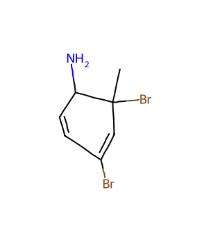 CC1(Br)C=C(Br)C=CC1N